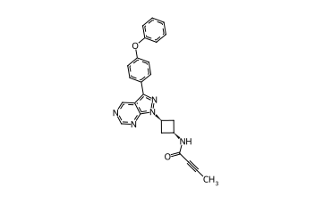 CC#CC(=O)N[C@H]1C[C@@H](n2nc(-c3ccc(Oc4ccccc4)cc3)c3cncnc32)C1